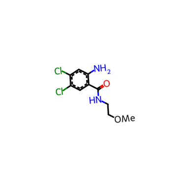 COCCNC(=O)c1cc(Cl)c(Cl)cc1N